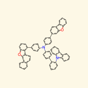 c1ccc(-n2c3ccccc3c3ccccc32)c(-c2ccc(N(c3ccc(-c4ccc5c(c4)oc4ccccc45)cc3)c3ccc(-c4cccc5oc6c7ccccc7ccc6c45)cc3)cc2)c1